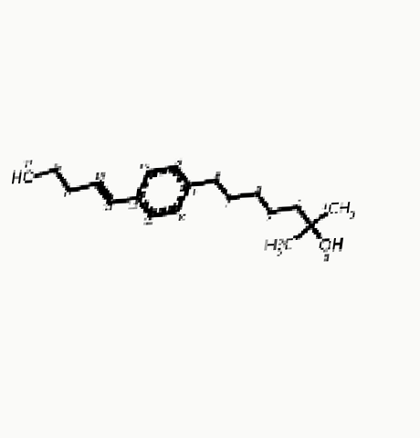 CC(C)(O)CCCCCc1ccc(C=CCCO)cc1